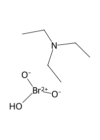 CCN(CC)CC.[O-][Br+2]([O-])O